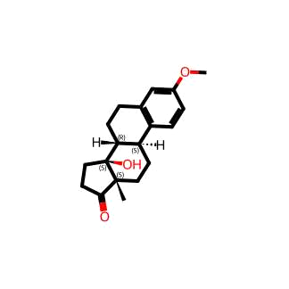 COc1ccc2c(c1)CC[C@@H]1[C@@H]2CC[C@]2(C)C(=O)CC[C@]12O